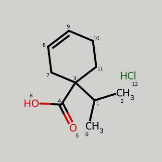 CC(C)C1(C(=O)O)CC=CCC1.Cl